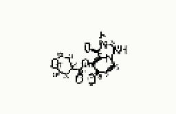 O=C1NCNn2ccc(=O)c(OC(=O)C3CCOCC3)c21